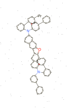 CC(C)c1ccc(-c2ccccc2N(c2ccc(-c3ccccc3)cc2)c2ccc3cc4c(cc3c2)oc2cc3cc(N(c5cccc(-c6ccccc6)c5)c5ccccc5-c5ccccc5)ccc3cc24)cc1